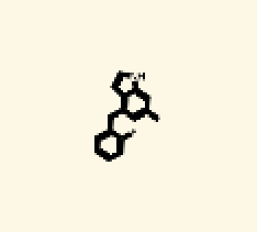 Cc1cc(Cc2ccccc2F)c2cc[nH]c2c1